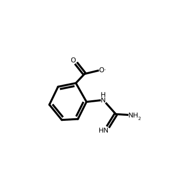 N=C(N)Nc1ccccc1C([O])=O